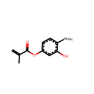 C=C(C)C(=O)Oc1ccc(NC(C)=O)c(O)c1